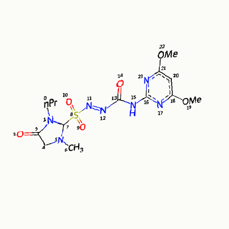 CCCN1C(=O)CN(C)C1S(=O)(=O)N=NC(=O)Nc1nc(OC)cc(OC)n1